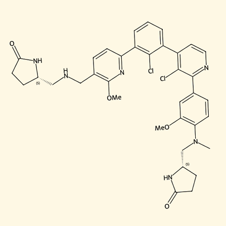 COc1cc(-c2nccc(-c3cccc(-c4ccc(CNC[C@@H]5CCC(=O)N5)c(OC)n4)c3Cl)c2Cl)ccc1N(C)C[C@@H]1CCC(=O)N1